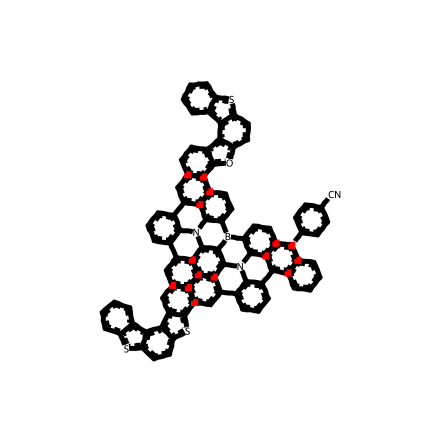 N#Cc1ccc(N(c2ccccc2)c2ccc3c(c2)N(c2c(-c4ccccc4)cccc2-c2ccccc2)c2cc(-c4ccc5c(c4)sc4ccc6sc7ccccc7c6c45)cc4c2B3c2ccc(-c3cccc5c3oc3ccc6sc7ccccc7c6c35)cc2N4c2c(-c3ccccc3)cccc2-c2ccccc2)cc1